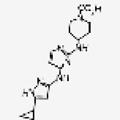 O=C(O)N1CCC(Nc2nccc(Nc3cc(C4CC4)[nH]n3)n2)CC1